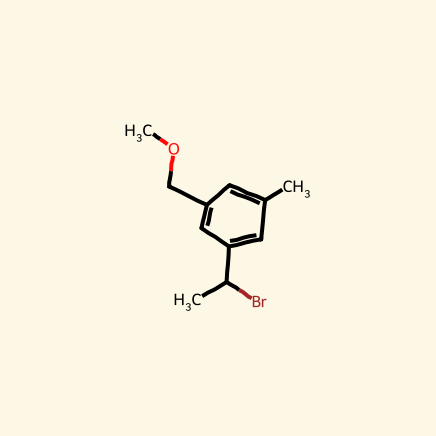 COCc1cc(C)cc(C(C)Br)c1